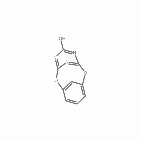 Oc1nc2nc(n1)oc1cccc(c1)o2